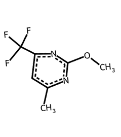 COc1nc(C)cc(C(F)(F)F)n1